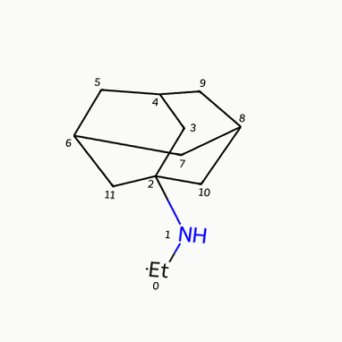 C[CH]NC12CC3CC(CC(C3)C1)C2